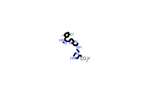 O=C(O)CC1CNCCN1CCNc1cnc2ccc(-c3nc[nH]c3-c3cc(Cl)ccc3F)nc2c1